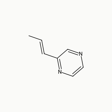 CC=Cc1cnccn1